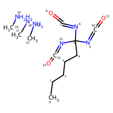 CCCCCC(N=C=O)(N=C=O)N=C=O.CN.CN.CN